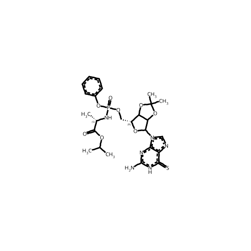 CC(C)OC(=O)[C@H](C)NP(=O)(OC[C@H]1OC(n2cnc3c(=S)[nH]c(N)nc32)C2OC(C)(C)OC21)Oc1ccccc1